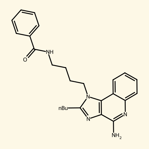 CCCCc1nc2c(N)nc3ccccc3c2n1CCCCNC(=O)c1ccccc1